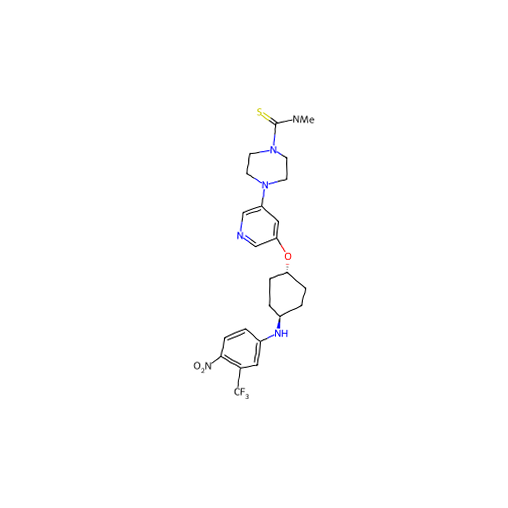 CNC(=S)N1CCN(c2cncc(O[C@H]3CC[C@H](Nc4ccc([N+](=O)[O-])c(C(F)(F)F)c4)CC3)c2)CC1